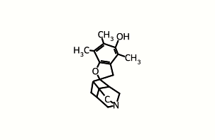 Cc1c(C)c2c(c(C)c1O)CC1(O2)C2CC3CC1CN(C3)C2